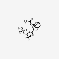 CC(=O)OC12CC3CC(C1)CC(C(=O)OC(CS(=O)(=O)O)C(F)(F)F)(C3)C2